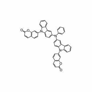 O=c1ccc2ccc(-n3c4ccccc4c4cc(N(c5ccccc5)c5ccc6c(c5)c5ccccc5n6-c5ccc6ccc(=O)oc6c5)ccc43)cc2o1